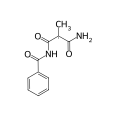 C[C](C(N)=O)C(=O)NC(=O)c1ccccc1